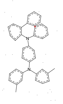 Cc1cccc(N(c2ccc(N(c3ccccc3)c3ccccc3-c3ccccc3)cc2)c2cccc(C)c2)c1